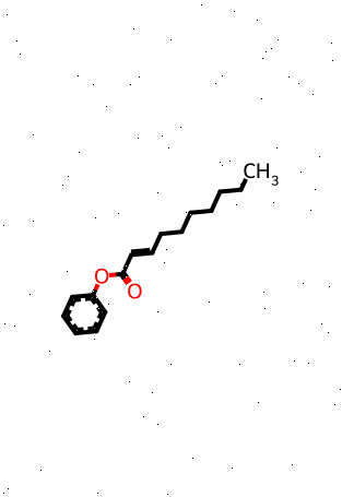 CCCCCCCC=CC(=O)Oc1ccccc1